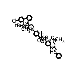 CN(C)CC[C@H](CSc1ccccc1)Nc1ccc(S(=O)(=O)NC(=O)c2ccc(N3CCC([C@@H](O[Si](C)(C)C(C)(C)C)c4ccccc4-c4ccc(Cl)cc4)CC3)cc2)cc1